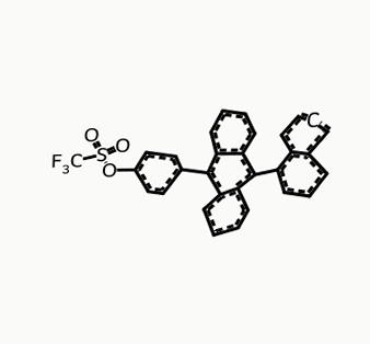 O=S(=O)(Oc1ccc(-c2c3ccccc3c(-c3cccc4ccccc34)c3ccccc23)cc1)C(F)(F)F